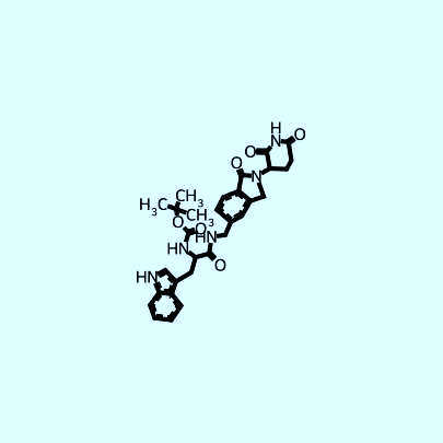 CC(C)(C)OC(=O)NC(Cc1c[nH]c2ccccc12)C(=O)NCc1ccc2c(c1)CN(C1CCC(=O)NC1=O)C2=O